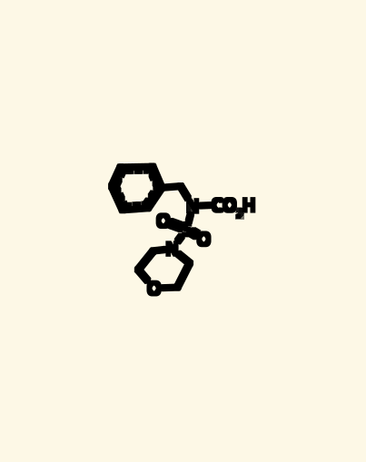 O=C(O)N(Cc1ccccc1)S(=O)(=O)N1CCOCC1